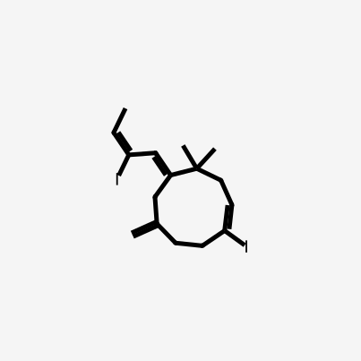 C=C1CC/C(I)=C\CC(C)(C)/C(=C/C(I)=C\C)C1